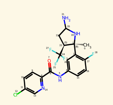 C[C@@]1(c2cc(NC(=O)c3ccc(Cl)cn3)ccc2F)NC(N)C[C@@H]1C(F)(F)F